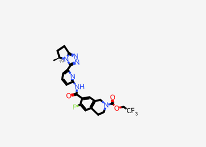 C[C@H]1CCc2nnc(-c3cccc(NC(=O)c4cc5c(cc4F)CCN(C(=O)OCC(F)(F)F)C5)n3)n21